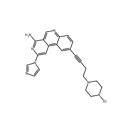 CCN1CCN(CCC#Cc2ccc3ncc4c(N)nc(-n5ccnc5)cc4c3c2)CC1